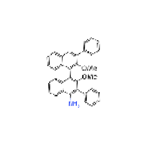 COc1c(-c2ccccc2)cc2ccccc2c1-c1c(OC)c(-c2ccccc2)c(N)c2ccccc12